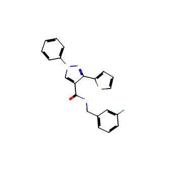 O=C(NCc1cccc(Cl)c1)c1cn(-c2ccccc2)nc1-c1cccs1